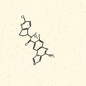 CN(C(=O)c1cc2c(cc1F)nc(N)c1cncn12)C1CCc2nc(Cl)ccc21